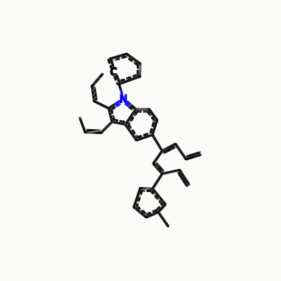 C=C/C=C(\C=C(/C=C)c1cccc(C)c1)c1ccc2c(c1)c(/C=C\C)c(/C=C\C)n2-c1ccccc1